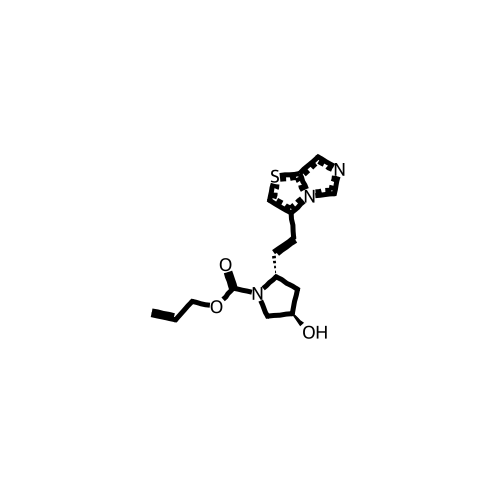 C=CCOC(=O)N1C[C@H](O)C[C@H]1C=Cc1csc2cncn12